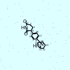 O=C1CCC(c2ccc(N3CC4CCC3CN4)cc2)C(=O)N1